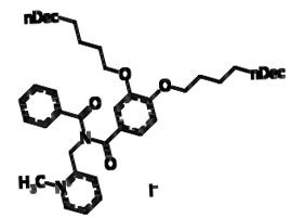 CCCCCCCCCCCCCCOc1ccc(C(=O)N(Cc2cccc[n+]2C)C(=O)c2ccccc2)cc1OCCCCCCCCCCCCCC.[I-]